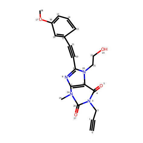 C#CCn1c(=O)c2c(nc(C#Cc3cccc(OC)c3)n2CCO)n(C)c1=O